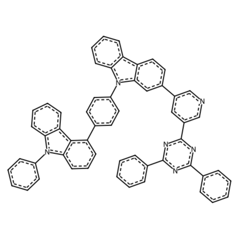 c1ccc(-c2nc(-c3ccccc3)nc(-c3cncc(-c4ccc5c6ccccc6n(-c6ccc(-c7cccc8c7c7ccccc7n8-c7ccccc7)cc6)c5c4)c3)n2)cc1